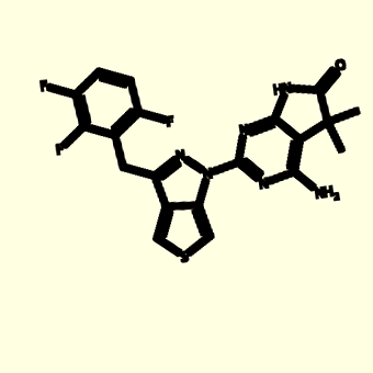 CC1(C)C(=O)Nc2nc(-n3nc(Cc4c(F)ccc(F)c4F)c4cscc43)nc(N)c21